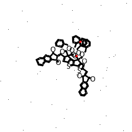 O=C1C(=CC2=Cc3sc4c(c3C2(C(=O)OCc2ccccc2)C(=O)OCc2ccccc2)C(C(=O)OCc2ccccc2)(C(=O)OCc2ccccc2)c2cc(C=C3C(=O)c5cc6ccccc6cc5C3=O)sc2-4)C(=O)c2cc3ccccc3cc21